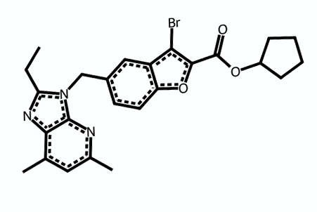 CCc1nc2c(C)cc(C)nc2n1Cc1ccc2oc(C(=O)OC3CCCC3)c(Br)c2c1